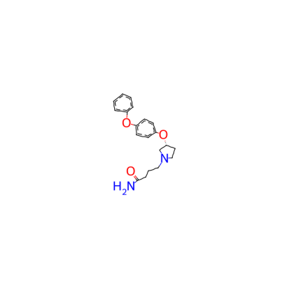 NC(=O)CCCN1CC[C@@H](Oc2ccc(Oc3ccccc3)cc2)C1